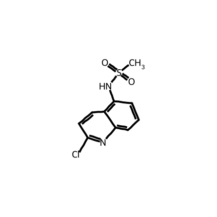 CS(=O)(=O)Nc1cccc2nc(Cl)ccc12